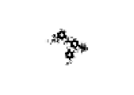 COc1ccc(OC2=CC(C(F)(F)C(F)(F)F)=CCC2C(=O)Nc2cccc(S(N)(=O)=O)c2)c(Cl)c1